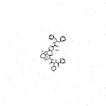 CCC[C@H](NC(=O)[C@@H]1C[C@@H]2CCCC[C@@H]2N1C(=O)[C@@H](NC(=O)[C@@H](NC(=O)c1cnccn1)C1CCCCC1)C(C)(C)C)C(=O)C(=O)NN(Cc1ccccc1)Cc1ccccc1